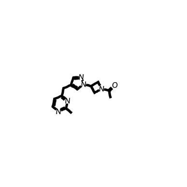 CC(=O)N1CC(n2cc(Cc3ccnc(C)n3)cn2)C1